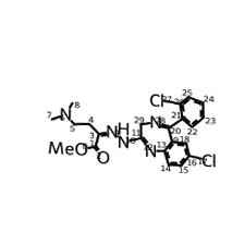 COC(=O)C(CCN(C)C)=NNC1=Nc2ccc(Cl)cc2C(c2ccccc2Cl)=NC1